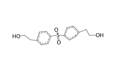 O=S(=O)(c1ccc(CCO)cc1)c1ccc(CCO)cc1